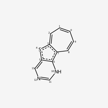 C1=CC=c2sc3c(c2C=C1)NC=NC=3